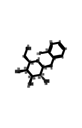 OC[C@H]1O[C@@H](Oc2cccnc2F)[C@H](O)[C@@H](O)[C@H]1O